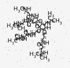 CNCCC(=O)NCCCOC1C(CNC(C)C)CC(OCCCNC(=O)CCNC(C)C)C(OCCCNC(=O)CCNC(C)C)C1OCCCNC(=O)CCNC(C)C